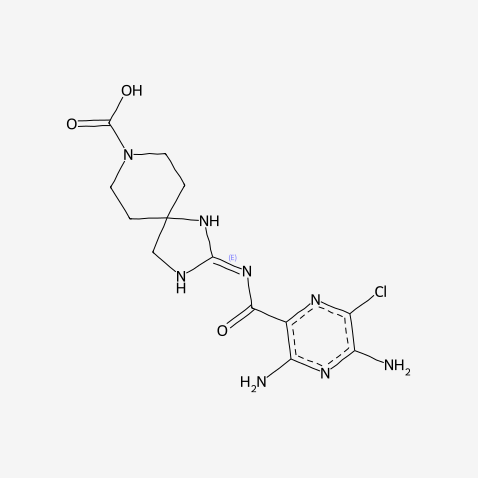 Nc1nc(N)c(C(=O)/N=C2\NCC3(CCN(C(=O)O)CC3)N2)nc1Cl